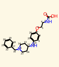 O=C(O)NCCOc1ccc(NC2CCN(Cc3ccccc3)CC2)cc1